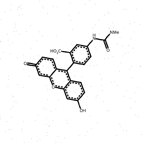 CNC(=O)Nc1ccc(-c2c3ccc(=O)cc-3oc3cc(O)ccc23)c(C(=O)O)c1